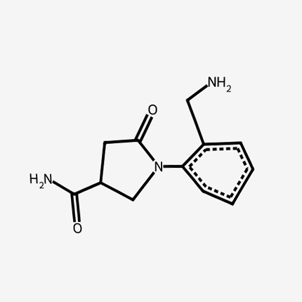 NCc1ccccc1N1CC(C(N)=O)CC1=O